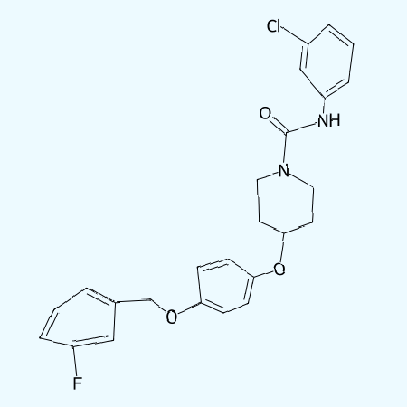 O=C(Nc1cccc(Cl)c1)N1CCC(Oc2ccc(OCc3cccc(F)c3)cc2)CC1